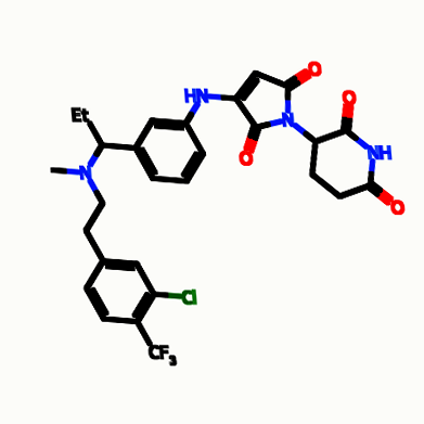 CCC(c1cccc(NC2=CC(=O)N(C3CCC(=O)NC3=O)C2=O)c1)N(C)CCc1ccc(C(F)(F)F)c(Cl)c1